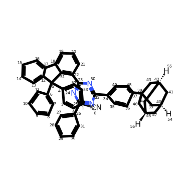 N#Cc1ccc(C2(c3ccccc3)c3ccccc3-c3cccc(-c4nc(-c5ccccc5)nc(-c5ccc(C67C[C@H]8C[C@H](C6)C[C@@H](C7)C8)cc5)n4)c32)cc1